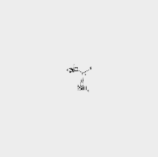 CC(=O)O.[Cu].[SiH4]